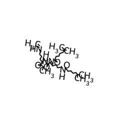 CCNCCCCC(NC(=O)C(CCCCNC(=O)CCCCC(C)C)NC(=O)CCCCC(C)C)C(=O)CC